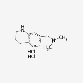 CN(C)Cc1ccc2c(c1)NCCC2.Cl.Cl